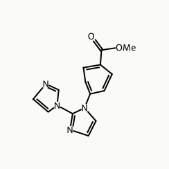 COC(=O)c1ccc(-n2ccnc2-n2ccnc2)cc1